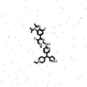 C=N/C=C(F)\C(=N/CNc1ccc(C(C2CCN(CC)CC2)C2CCNC2)cn1)c1cc(F)c2nc(C)n(C(C)C)c2c1